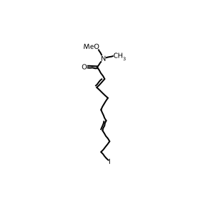 CON(C)C(=O)/C=C/CC/C=C/CCI